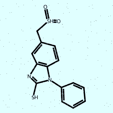 O=[SH](=O)Cc1ccc2c(c1)nc(S)n2-c1ccccc1